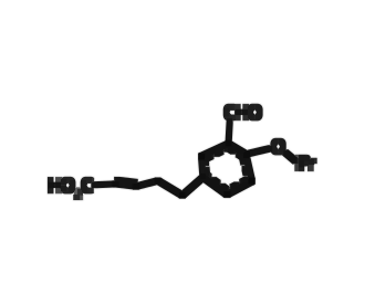 CC(C)Oc1ccc(CCC=CC(=O)O)cc1C=O